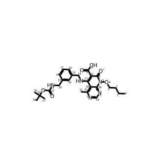 CCCCOn1c(=O)c(C(=O)O)c(NCc2cccc(CNC(=O)OC(C)(C)C)c2)c2c(C)ncnc21